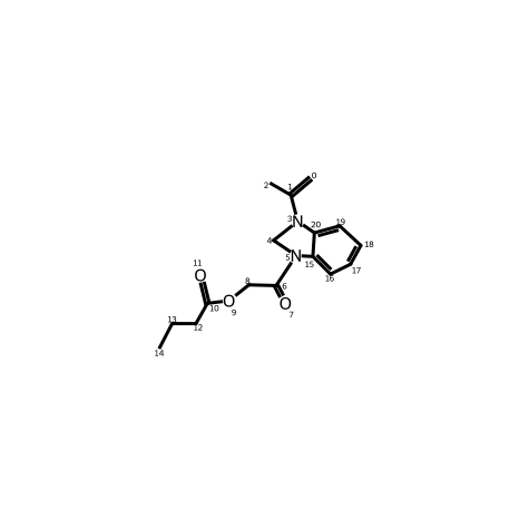 C=C(C)N1CN(C(=O)COC(=O)CCC)c2ccccc21